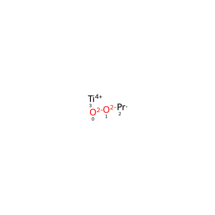 [O-2].[O-2].[Pr].[Ti+4]